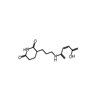 C=C(O)/C=C\C(=C)NCCCC1CCC(=O)NC1=O